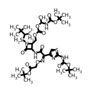 CC(NC(=O)OC(C)(C)C)OC(=O)OCC1C(NC(=O)C(=NOCC(=O)OC(C)(C)C)c2csc(NC(=O)OC(C)(C)C)n2)C(=O)N1[SiH2]C(C)C(C)(C)C